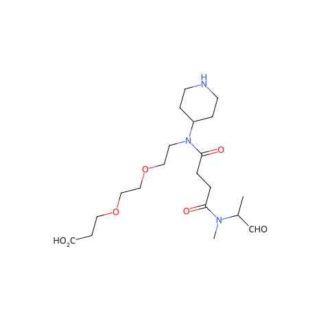 CC(C=O)N(C)C(=O)CCC(=O)N(CCOCCOCCC(=O)O)C1CCNCC1